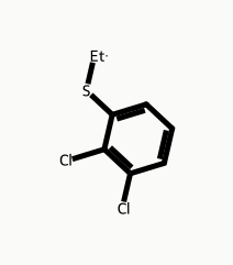 C[CH]Sc1cccc(Cl)c1Cl